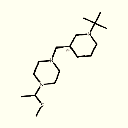 CSC(C)N1CCN(C[C@@H]2CCCN(C(C)(C)C)C2)CC1